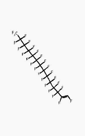 FC=C(F)C(F)(F)C(F)(F)C(F)(F)C(F)(F)C(F)(F)C(F)(F)C(F)(F)C(F)(F)C(F)(F)C(F)(F)C(F)(F)C(F)(F)F